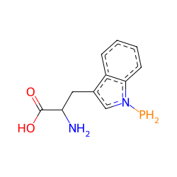 NC(Cc1cn(P)c2ccccc12)C(=O)O